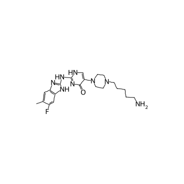 Cc1cc2nc(Nc3nc(=O)c(N4CCN(CCCCCN)CC4)c[nH]3)[nH]c2cc1F